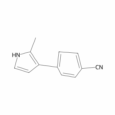 Cc1[nH]ccc1-c1ccc(C#N)cc1